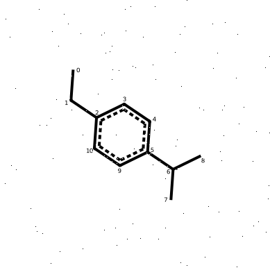 CCc1ccc([C](C)C)cc1